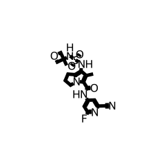 Cc1c(NS(=O)(=O)NC2(C)COC2)c2n(c1C(=O)Nc1cc(F)nc(C#N)c1)CCC2